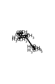 CCc1c2n(cc(C(=O)O)c1=O)C(C(C)(C)C)Cc1cc(OCCCCCCCCNC(=O)OC(C)(C)C)c(OC)cc1-2